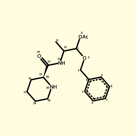 CC(=O)OC(OCc1ccccc1)C(C)NC(=O)[C@@H]1CCCCN1